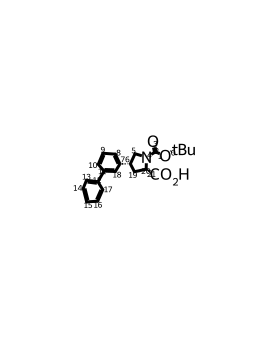 CC(C)(C)OC(=O)N1C[C@@H](c2cccc(-c3ccccc3)c2)C[C@@H]1C(=O)O